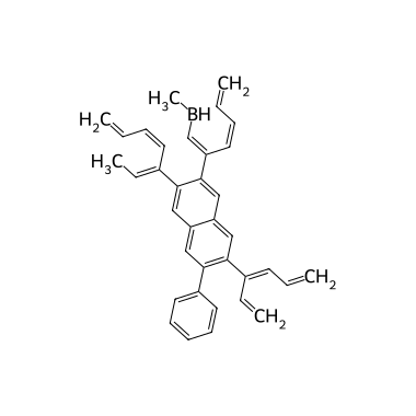 C=C/C=C\C(=C/BC)c1cc2cc(/C(C=C)=C/C=C)c(-c3ccccc3)cc2cc1C(/C=C\C=C)=C/C